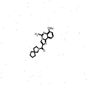 COc1cccc2c1nc(N)n1cc(C(=O)N3CCC4(CCCC4)C3)nc21